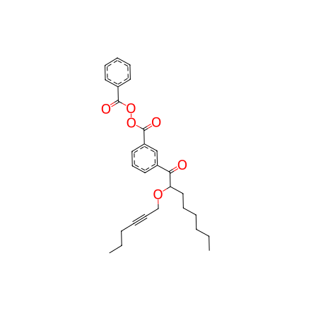 CCCC#CCOC(CCCCCC)C(=O)c1cccc(C(=O)OOC(=O)c2ccccc2)c1